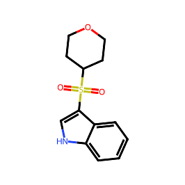 O=S(=O)(c1c[nH]c2ccccc12)C1CCOCC1